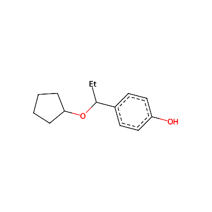 CCC(OC1CCCC1)c1ccc(O)cc1